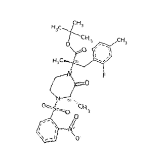 Cc1ccc(C[C@@](C)(C(=O)OC(C)(C)C)N2CCN(S(=O)(=O)c3ccccc3[N+](=O)[O-])[C@@H](C)C2=O)c(F)c1